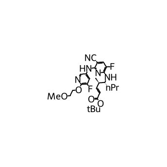 CCC[C@@H](Nc1nc(Nc2cnc(OCCOC)c(F)c2)c(C#N)cc1F)[C@H](C)/C=C/C(=O)OC(C)(C)C